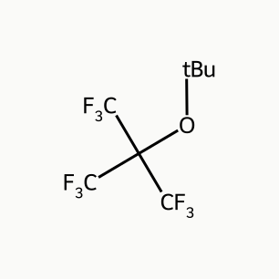 CC(C)(C)OC(C(F)(F)F)(C(F)(F)F)C(F)(F)F